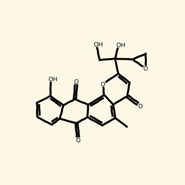 Cc1cc2c(c3oc(C(O)(CO)C4CO4)cc(=O)c13)C(=O)c1c(O)cccc1C2=O